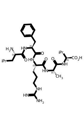 CC(C)C[C@H](N)C(=O)N[C@@H](Cc1ccccc1)C(=O)N[C@@H](CCCNC(=N)N)C(=O)N[C@@H](C)C(=O)N[C@H](C(=O)O)C(C)C